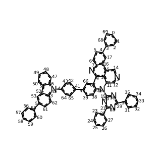 c1ccc(-c2ccc3nc4c5c(cncc5c3c2)N(c2nc(-c3ccccc3)nc(-c3ccccc3)n2)c2ccc(-c3ccc(-n5c6ccccc6c6cc(-c7ccccc7)ccc65)cc3)cc2-4)cc1